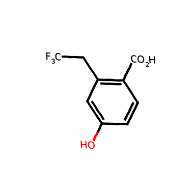 O=C(O)c1ccc(O)cc1CC(F)(F)F